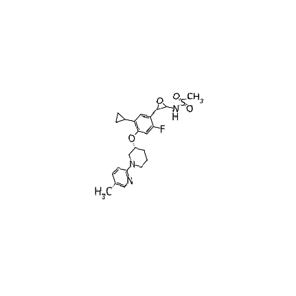 Cc1ccc(N2CCC[C@@H](Oc3cc(F)c(C4OC4NS(C)(=O)=O)cc3C3CC3)C2)nc1